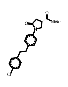 CNC(=O)[C@H]1CC(=O)N(c2ccc(CCc3ccc(Cl)cc3)cc2)C1